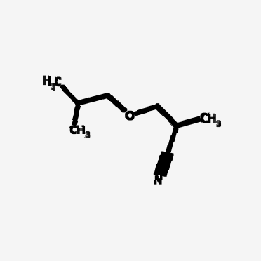 CC(C)COCC(C)C#N